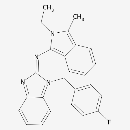 CCn1c(C)c2ccccc2c1/N=C1/N=c2ccccc2=[N+]1Cc1ccc(F)cc1